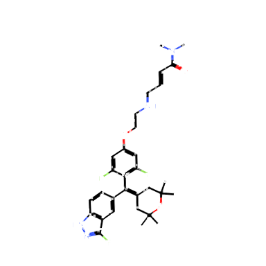 CN(C)C(=O)/C=C/CNCCOc1cc(F)c(C(=C2CC(C)(C)OC(C)(C)C2)c2ccc3[nH]nc(F)c3c2)c(F)c1